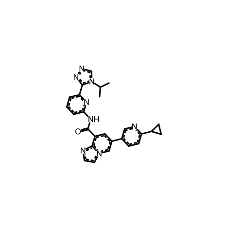 CC(C)n1cnnc1-c1cccc(NC(=O)c2cc(-c3ccc(C4CC4)nc3)cn3ccnc23)n1